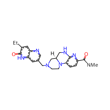 CCc1cc2ncc(CN3CCN4c5ccc(C(=O)NC)nc5NC[C@@H]4C3)cc2[nH]c1=O